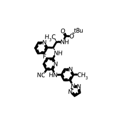 Cc1ncc(Nc2nc(N[C@H](c3ccccn3)[C@H](C)NC(=O)OC(C)(C)C)c(F)cc2C#N)cc1-n1nccn1